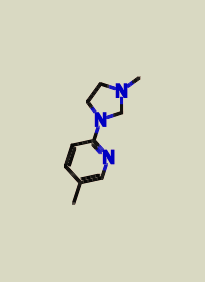 Cc1ccc(N2CCN(C)C2)nc1